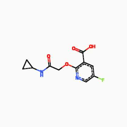 O=C(COc1ncc(F)cc1C(=O)O)NC1CC1